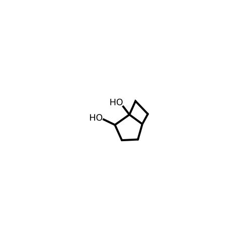 OC1CCC2CCC12O